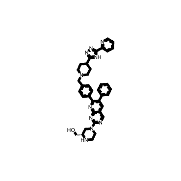 OC[C@@H]1CN(c2ncc3cc(-c4ccccc4)c(-c4ccc(CN5CCC(c6nnc(-c7ccccn7)[nH]6)CC5)cc4)nc3n2)CCN1